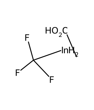 CC(=O)O.F[C](F)(F)[InH2]